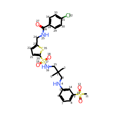 CC(C)(CNc1cccc(S(C)(=O)=O)c1)CNS(=O)(=O)c1ccc(CNC(=O)c2ccc(Cl)cc2)s1